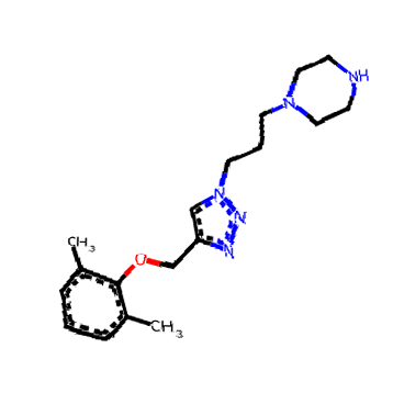 Cc1cccc(C)c1OCc1cn(CCCN2CCNCC2)nn1